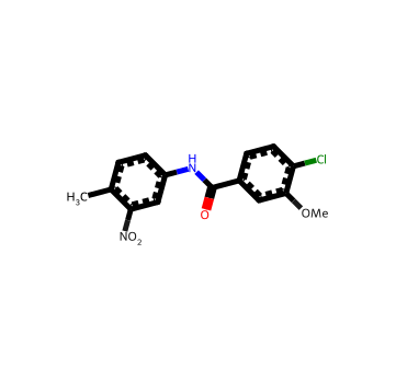 COc1cc(C(=O)Nc2ccc(C)c([N+](=O)[O-])c2)ccc1Cl